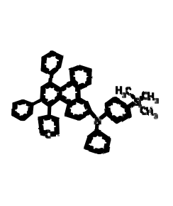 C[Si](C)(C)c1ccc(N(c2ccccc2)c2ccc3c(c2)c2ccccc2c2c(-c4ccccc4)cc(-c4ccccc4)c(-c4ccccc4)c32)cc1